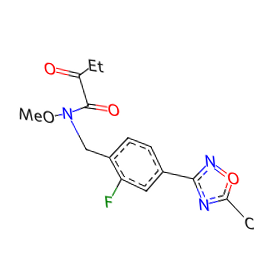 CCC(=O)C(=O)N(Cc1ccc(-c2noc(C(F)(F)F)n2)cc1F)OC